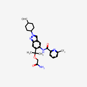 CC(C)(OCC(N)=O)c1cc2nn(C3CCC(C=O)CC3)cc2cc1NC(=O)c1cccc(C(F)(F)F)n1